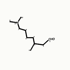 CC(CC=O)CCCCN(C)C